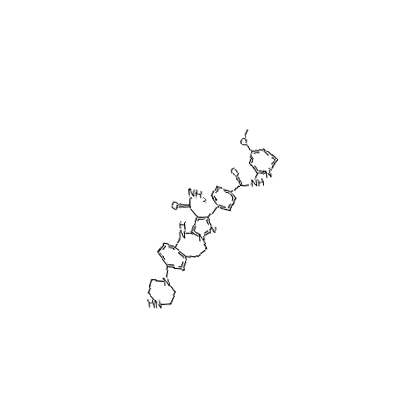 COc1ccnc(NC(=O)c2ccc(-c3nn4c(c3C(N)=O)Nc3ccc(N5CCNCC5)cc3CC4)cc2)c1